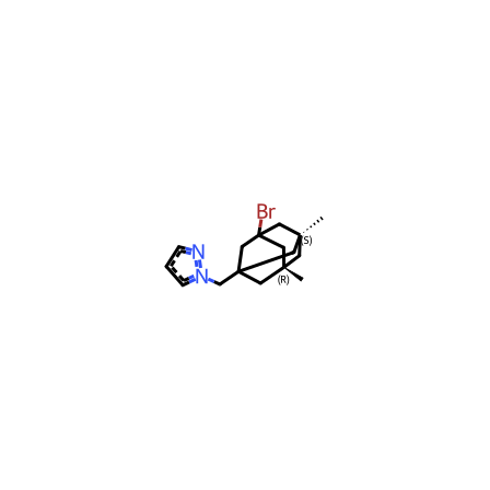 C[C@]12CC3(Br)CC(Cn4cccn4)(C1)C[C@@](C)(C3)C2